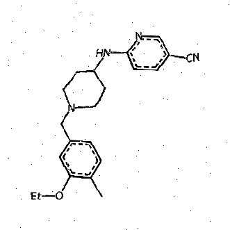 CCOc1cc(CN2CCC(Nc3ccc(C#N)cn3)CC2)ccc1C